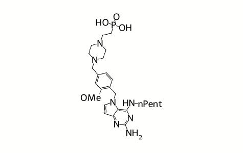 CCCCCNc1nc(N)nc2ccn(Cc3ccc(CN4CCN(CCP(=O)(O)O)CC4)cc3OC)c12